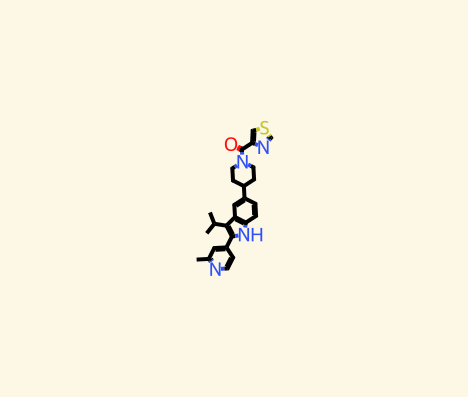 Cc1cc(-c2[nH]c3ccc(C4CCN(C(=O)c5cscn5)CC4)cc3c2C(C)C)ccn1